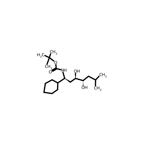 CC(C)C[C@H](O)[C@H](O)C[C@H](NC(=O)OC(C)(C)C)C1CCCCC1